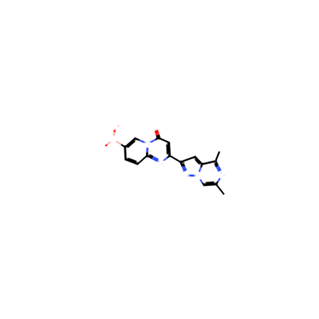 Cc1cn2nc(-c3cc(=O)n4cc(B(O)O)ccc4n3)cc2c(C)n1